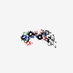 CC(C)COc1ccc(NC(=O)c2ccc(Cl)c(N(CCO)c3ncccc3Cl)c2)cc1C(=O)N(C)C